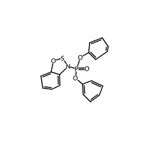 O=P(Oc1ccccc1)(Oc1ccccc1)N1SOc2ccccc21